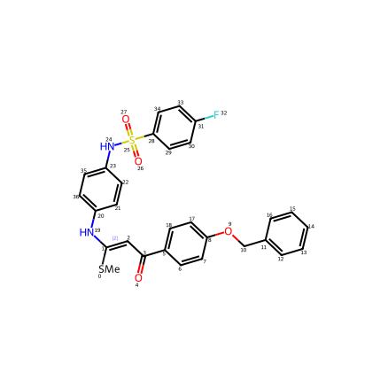 CS/C(=C\C(=O)c1ccc(OCc2ccccc2)cc1)Nc1ccc(NS(=O)(=O)c2ccc(F)cc2)cc1